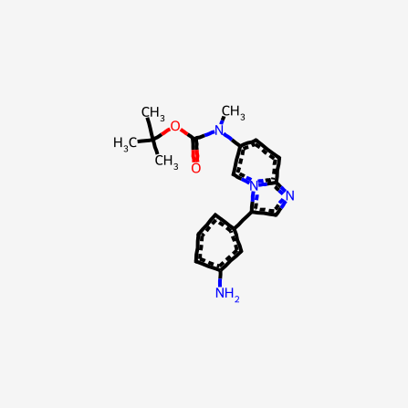 CN(C(=O)OC(C)(C)C)c1ccc2ncc(-c3cccc(N)c3)n2c1